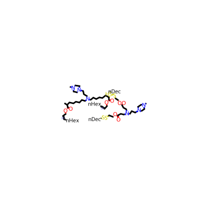 CCCCCC/C=C\COC(=O)C(C)CCCCCCN(CCCCCCC(C(=O)OC/C=C\CCCCCC)[SH](CCCCCCCCCC)SCCOC(=O)CCN(CCCN1CCN(C)CC1)CCC(=O)OCCSSCCCCCCCCCC)CCCN1CCN(C)CC1